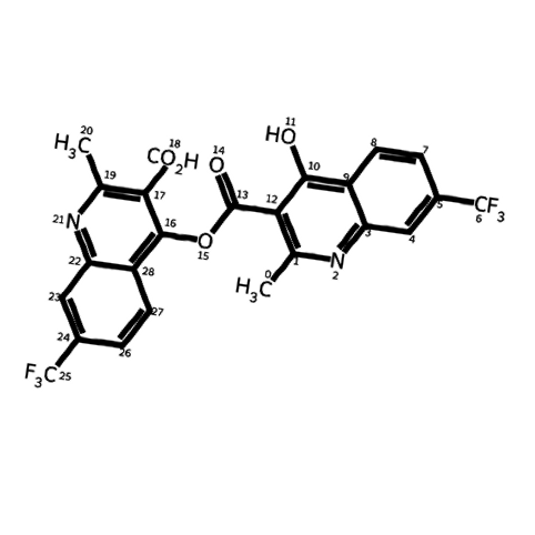 Cc1nc2cc(C(F)(F)F)ccc2c(O)c1C(=O)Oc1c(C(=O)O)c(C)nc2cc(C(F)(F)F)ccc12